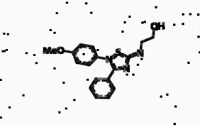 COc1ccc(-n2s/c(=N\CCO)nc2-c2ccccc2)cc1